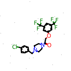 O=C(COc1cc(C(F)(F)F)cc(C(F)(F)F)c1)N1CCN(Cc2ccc(Cl)cc2)CC1